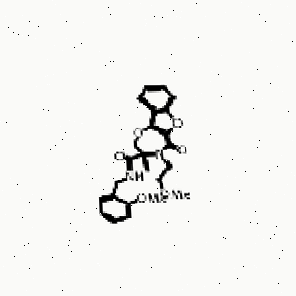 COCCN1C(=O)c2oc3ccccc3c2OCC1(C)C(=O)NCc1ccccc1OC